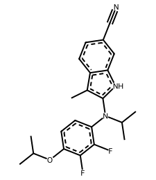 Cc1c(N(c2ccc(OC(C)C)c(F)c2F)C(C)C)[nH]c2cc(C#N)ccc12